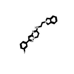 Fc1cccc(-c2cc3n(n2)CCC(NCCN2Cc4ccccc4C2)=N3)c1